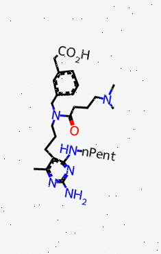 CCCCCNc1nc(N)nc(C)c1CCCN(Cc1cccc(CC(=O)O)c1)C(=O)CCCN(C)C